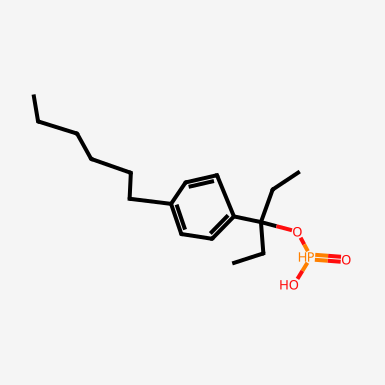 CCCCCCc1ccc(C(CC)(CC)O[PH](=O)O)cc1